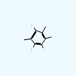 Cc1c(F)c(C)c(I)c(F)c1F